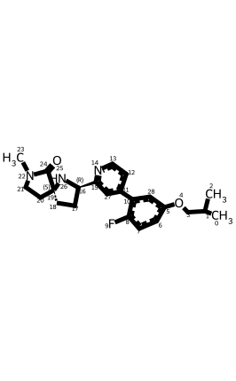 CC(C)COc1ccc(F)c(-c2ccnc([C@H]3CC[C@@]4(CCN(C)C4=O)N3)c2)c1